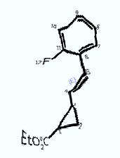 CCOC(=O)C1CC1/C=C/c1ccccc1F